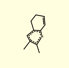 Cc1cc2c(nc1C)C=CCC2